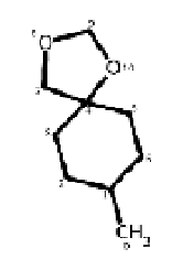 CC1CCC2(CC1)COCO2